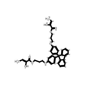 CC=C(O)C(=O)OCCCOc1ccc(C2(c3ccc(OCCCOC(=O)C(O)=CC)cc3)c3ccccc3-c3ccccc32)cc1